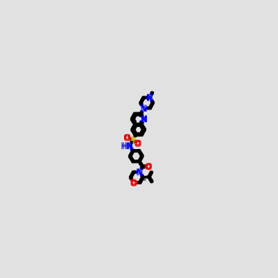 CC(C)[C@H]1COCCN1C(=O)C1CCC(NS(=O)(=O)c2ccc3nc(N4CCN(C)CC4)ccc3c2)CC1